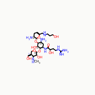 CN[C@H]1/C(=C\O)CO[C@H](O[C@H]2[C@H](NC(=O)[C@@H](O)CCNC(=N)N)C[C@H](N)C(O[C@H]3OC(CNCCCO)=CC[C@H]3N)[C@@H]2O)[C@@H]1O